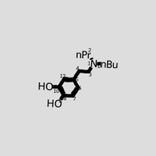 CCCCN(CCC)CCc1ccc(O)c(O)c1